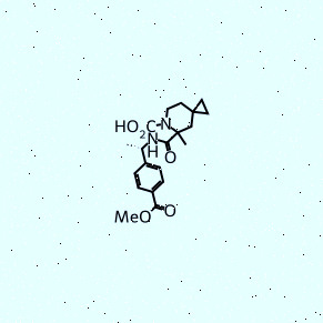 COC(=O)c1ccc([C@H](C)NC(=O)C2(C)CC3(CCN2C(=O)O)CC3)cc1